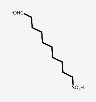 O=[C]CCCCCCCCCS(=O)(=O)O